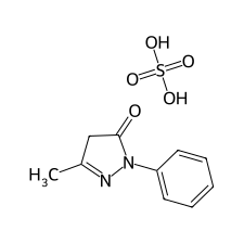 CC1=NN(c2ccccc2)C(=O)C1.O=S(=O)(O)O